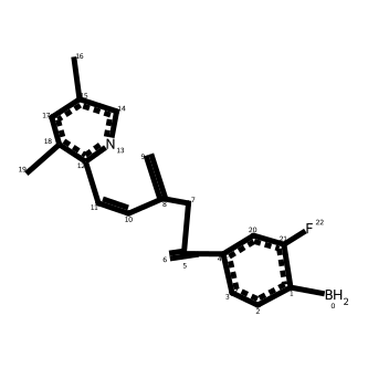 Bc1ccc(C(=C)CC(=C)/C=C\c2ncc(C)cc2C)cc1F